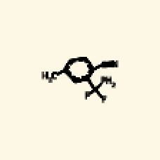 Cc1ccc(C#N)c(C(F)(F)P)c1